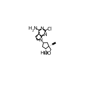 C#C[C@@]1(CO)C[C@H](n2ccc3c(N)nc(Cl)nc32)C[C@H]1O